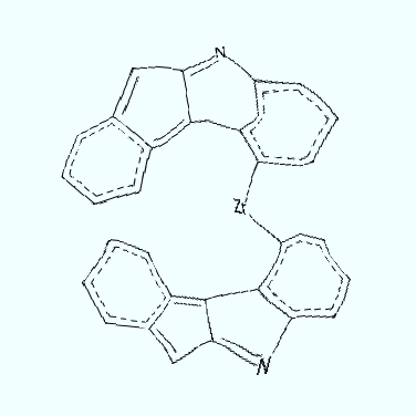 C1=c2ccccc2=C2C1=Nc1ccc[c]([Zr][c]3cccc4c3C3=c5ccccc5=CC3=N4)c12